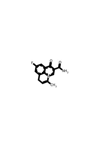 CC1=CCc2cc(F)cc3c(=O)c(C(N)=O)cn1c23